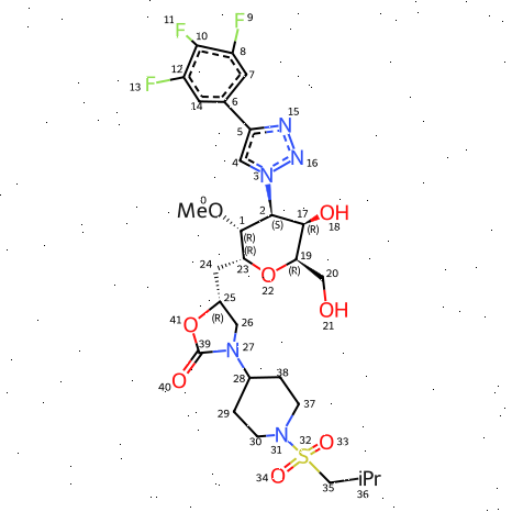 CO[C@@H]1[C@@H](n2cc(-c3cc(F)c(F)c(F)c3)nn2)[C@@H](O)[C@@H](CO)O[C@@H]1C[C@@H]1CN(C2CCN(S(=O)(=O)CC(C)C)CC2)C(=O)O1